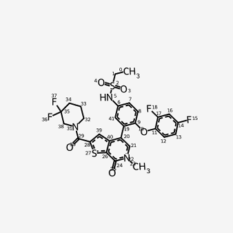 CCS(=O)(=O)Nc1ccc(Oc2ccc(F)cc2F)c(-c2cn(C)c(=O)c3sc(C(=O)N4CCCC(F)(F)C4)cc23)c1